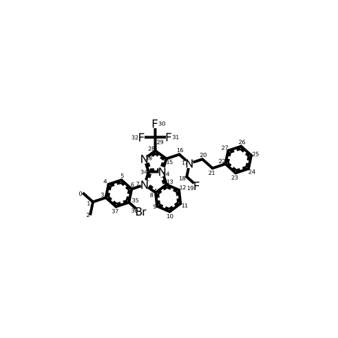 CC(C)c1ccc(-n2c3ccccc3n3c(CN(CF)CCc4ccccc4)c(C(F)(F)F)nc23)c(Br)c1